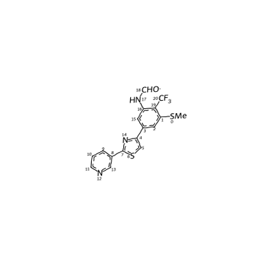 CSc1cc(-c2csc(-c3cccnc3)n2)cc(N[C]=O)c1C(F)(F)F